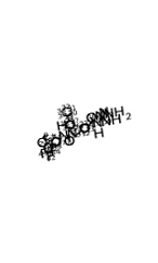 C[S+]([O-])c1cc(NC(=O)N(Cc2ccc(C(=O)NC(=N)/N=N\N)cc2)c2ccc(C3=CCCCC3)cc2)ccc1OC(F)(F)F